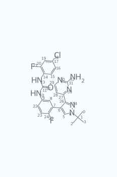 CC(C)(C)n1cc(-c2cc(NC(=O)Nc3ccc(Cl)cc3F)ccc2F)c(-c2ccnc(N)n2)n1